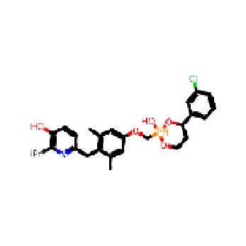 Cc1cc(OC[PH]2(O)OCCC(c3cccc(Cl)c3)O2)cc(C)c1Cc1ccc(O)c(C(C)C)n1